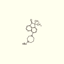 CCCCN1CCCN(c2ccc3c4c(cccc24)C(=O)C3(C)C)CC1